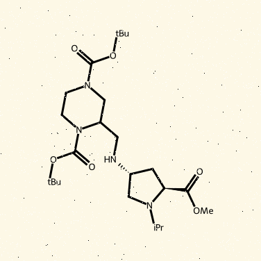 COC(=O)[C@@H]1C[C@@H](NCC2CN(C(=O)OC(C)(C)C)CCN2C(=O)OC(C)(C)C)CN1C(C)C